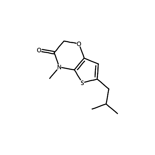 CC(C)Cc1cc2c(s1)N(C)C(=O)CO2